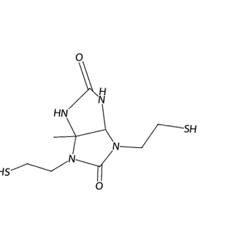 CC12NC(=O)NC1N(CCS)C(=O)N2CCS